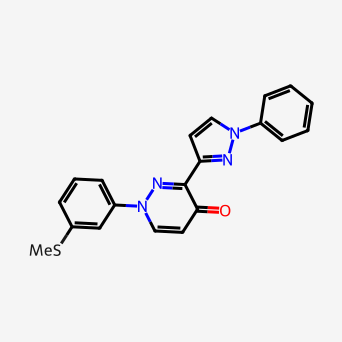 CSc1cccc(-n2ccc(=O)c(-c3ccn(-c4ccccc4)n3)n2)c1